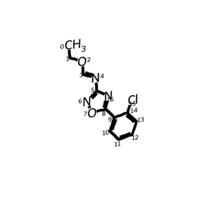 CCO/C=N/c1noc(-c2ccccc2Cl)n1